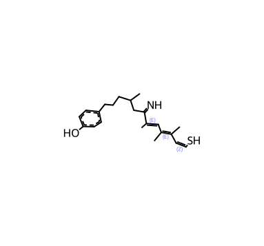 C\C(=C/C(C)=C(C)/C=C\S)C(=N)CC(C)CCCc1ccc(O)cc1